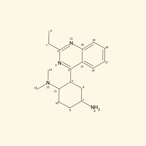 CCc1nc(C2CC(N)CCC2N(C)C)c2ccccc2n1